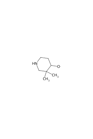 CC1(C)CNCCC1[O]